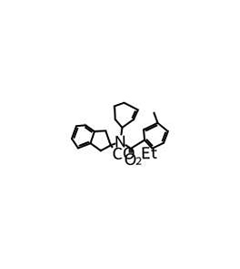 CCOC(=O)C1(N(C(=O)c2cccc(C)c2)C2C=CCCC2)Cc2ccccc2C1